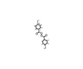 O=C(OOC(=O)c1ccc(I)cc1)c1ccc(I)cc1